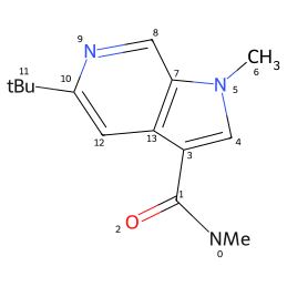 CNC(=O)c1cn(C)c2cnc(C(C)(C)C)cc12